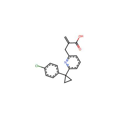 C=C(Cc1cccc(C2(c3ccc(Cl)cc3)CC2)n1)C(=O)O